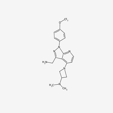 CN(C)C1CN(c2ccnc3c2c(CN)nn3-c2ccc(OC(F)(F)F)cc2)C1